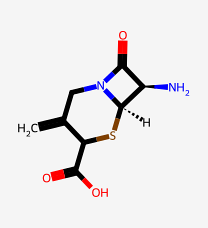 C=C1CN2C(=O)[C@@H](N)[C@H]2SC1C(=O)O